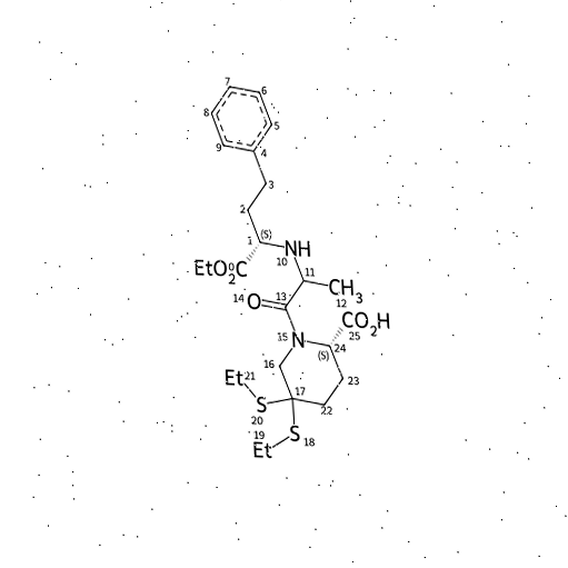 CCOC(=O)[C@H](CCc1ccccc1)NC(C)C(=O)N1CC(SCC)(SCC)CC[C@H]1C(=O)O